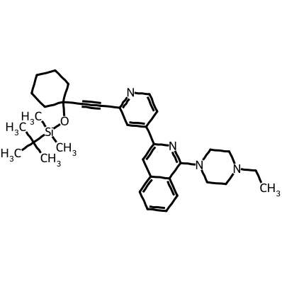 CCN1CCN(c2nc(-c3ccnc(C#CC4(O[Si](C)(C)C(C)(C)C)CCCCC4)c3)cc3ccccc23)CC1